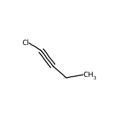 C[CH]C#CCl